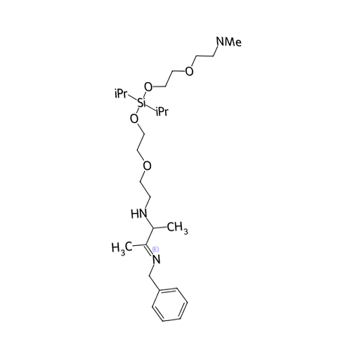 CNCCOCCO[Si](OCCOCCNC(C)/C(C)=N/Cc1ccccc1)(C(C)C)C(C)C